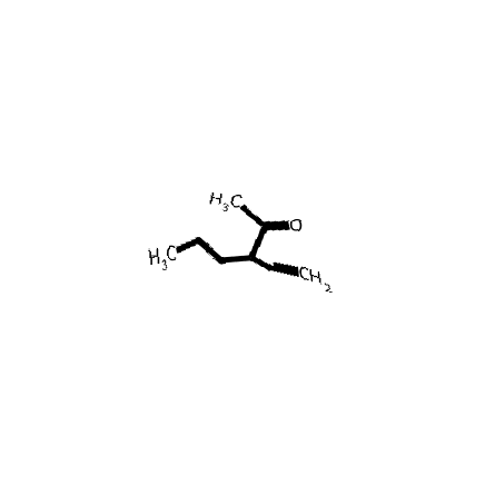 C=CC(CCC)C(C)=O